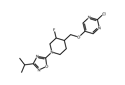 CC(C)c1noc(N2CCC(COc3cnc(Cl)nc3)C(F)C2)n1